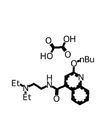 CCCCOc1cc(C(=O)NCCN(CC)CC)c2ccccc2n1.O=C(O)C(=O)O